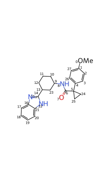 COc1ccc(C2(C(=O)NC3CCCC(c4nc5ccccc5[nH]4)C3)CC2)cc1